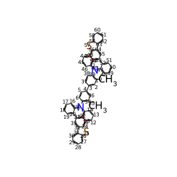 Cc1cc(-c2ccc(N(c3ccccc3)c3ccccc3-c3ccc4sc5ccccc5c4c3)c(C)c2)ccc1N(c1ccccc1)c1ccccc1-c1ccc2sc3ccccc3c2c1